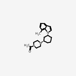 CC(=O)N1CCN([C@@H]2CCC[C@@H](n3ccc4cccc(C)c43)C2)CC1